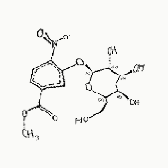 COC(=O)c1ccc([N+](=O)[O-])c(O[C@@H]2O[C@H](CO)[C@H](O)[C@H](O)[C@H]2O)c1